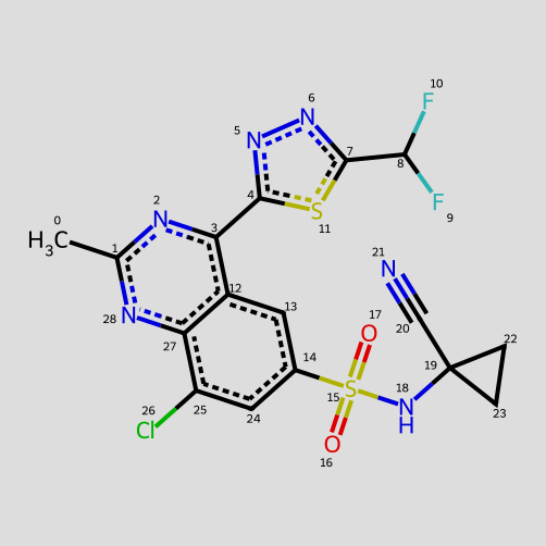 Cc1nc(-c2nnc(C(F)F)s2)c2cc(S(=O)(=O)NC3(C#N)CC3)cc(Cl)c2n1